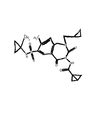 Cc1cc2c(cc1S(=O)(=O)NC1(C)CC1)c(=O)n(NC(=O)C13CC1C3)c(=O)n2CC1CC1